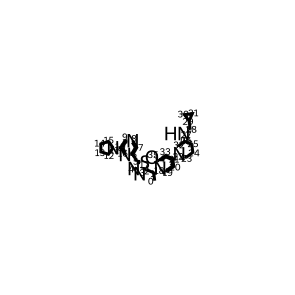 CC(c1nnc(-c2cncc(N3CCCC3)n2)s1)n1ccc(N2CCC[C@@H](NCC3CC3)C2)cc1=O